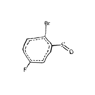 O=[S+]c1cc(F)ccc1Br